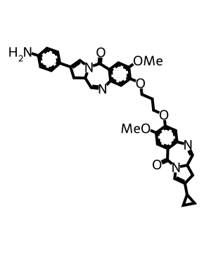 COc1cc2c(cc1OCCCOc1cc3c(cc1OC)C(=O)N1C=C(C4CC4)CC1C=N3)N=CC1CC(c3ccc(N)cc3)=CN1C2=O